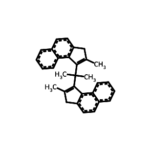 CC1=C(C(C)(C)C2=C(C)Cc3ccc4ccccc4c32)c2c(ccc3ccccc23)C1